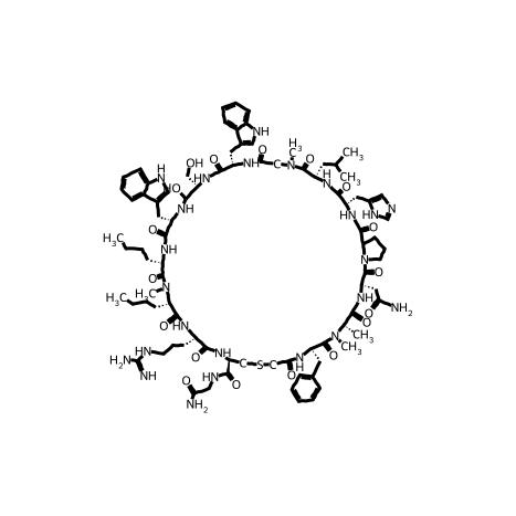 CCCC[C@@H]1NC(=O)[C@H](Cc2c[nH]c3ccccc23)NC(O)[C@H](CO)NC(=O)[C@H](Cc2c[nH]c3ccccc23)NC(=O)CN(C)C(=O)[C@H](CC(C)C)NC(=O)[C@H](Cc2cnc[nH]2)NC(=O)C2CCCN2C(=O)[C@H](CC(N)=O)NC(=O)[C@H](C)N(C)C(=O)[C@H](Cc2ccccc2)NC(=O)CSC[C@@H](C(=O)NCC(N)=O)NC(=O)[C@H](CCCNC(=N)N)NC(=O)[C@H](CCCC)N(C)C1=O